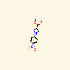 COC(OC)C1CN(c2ccc([N+](=O)[O-])cc2)C1